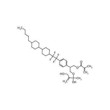 C=C(C)C(=O)OCC(COC(C)(O)C(=C)CO)c1ccc(C(F)(F)C(F)(F)C2CCC(C3CCC(CCCCC)CC3)CC2)cc1